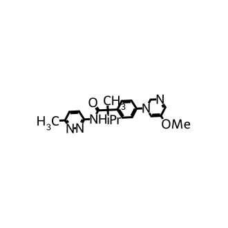 COC1=CN(c2ccc(C(C)(C(=O)Nc3ccc(C)nn3)C(C)C)cc2)CN=C1